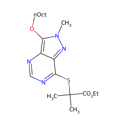 CCCCCCCCOc1c2ncnc(SC(C)(C)C(=O)OCC)c2nn1C